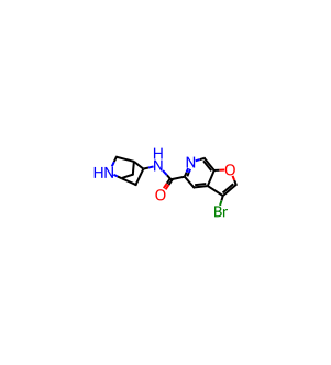 O=C(NC1CC2CC1CN2)c1cc2c(Br)coc2cn1